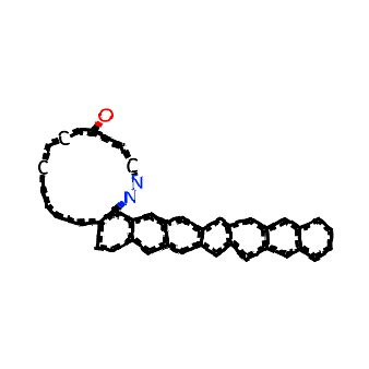 O=c1ccccccccc2ccc3cc4cc5cc6cc7cc8ccccc8cc7cc6cc5cc4cc3c2nncc1